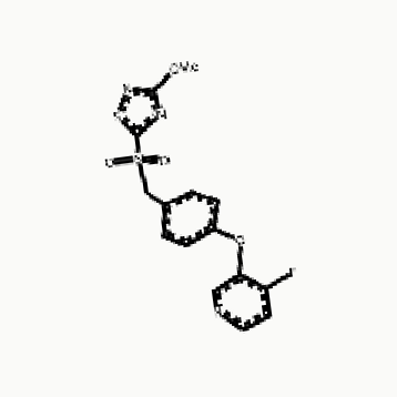 COc1nsc(S(=O)(=O)Cc2ccc(Oc3cnccc3F)cc2)n1